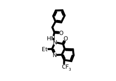 CCc1nc2c(C(F)(F)F)cccc2c(=O)n1NC(=O)Cc1ccccc1